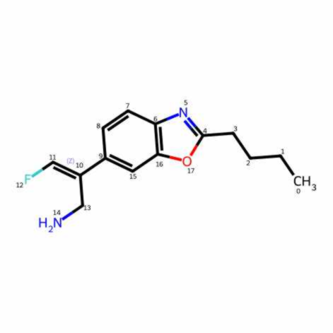 CCCCc1nc2ccc(/C(=C/F)CN)cc2o1